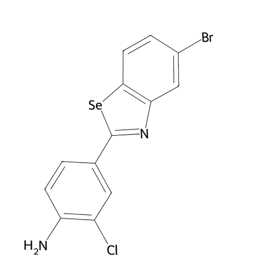 Nc1ccc(-c2nc3cc(Br)ccc3[se]2)cc1Cl